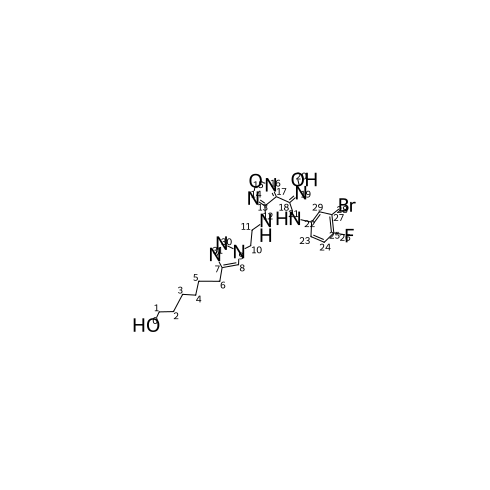 OCCCCCCc1cn(CCNc2nonc2C(=NO)Nc2ccc(F)c(Br)c2)nn1